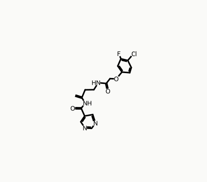 C=C(CCNC(=O)COc1ccc(Cl)c(F)c1)NC(=O)c1cncnc1